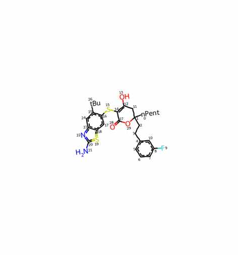 CCCCCC1(CCc2cccc(F)c2)CC(O)=C(Sc2cc3sc(N)nc3cc2C(C)(C)C)C(=O)O1